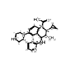 CC(=O)N1c2ccc(N3CCNCC3)cc2[C@H](Nc2ncccn2)[C@@H](C)[C@@H]1C1CC1